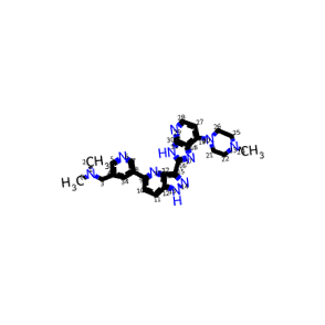 CN(C)Cc1cncc(-c2ccc3[nH]nc(-c4nc5c(N6CCN(C)CC6)ccnc5[nH]4)c3n2)c1